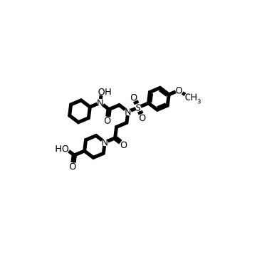 COc1ccc(S(=O)(=O)N(CCC(=O)N2CCC(C(=O)O)CC2)CC(=O)N(O)C2CCCCC2)cc1